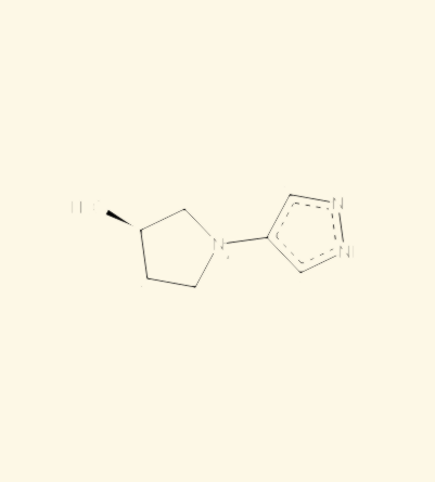 C[C@@H]1CCN(c2cn[nH]c2)C1